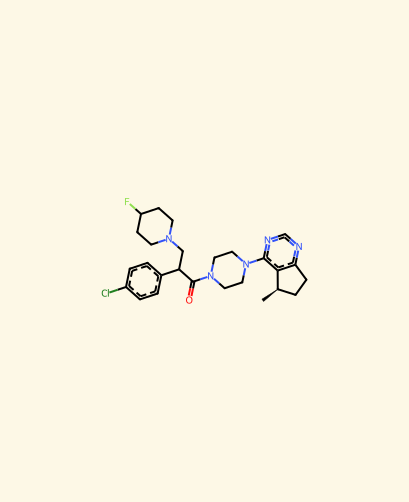 C[C@@H]1CCc2ncnc(N3CCN(C(=O)C(CN4CCC(F)CC4)c4ccc(Cl)cc4)CC3)c21